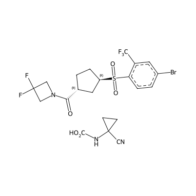 N#CC1(NC(=O)O)CC1.O=C([C@@H]1CC[C@@H](S(=O)(=O)c2ccc(Br)cc2C(F)(F)F)C1)N1CC(F)(F)C1